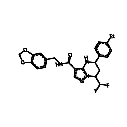 CCc1ccc(C2CC(C(F)F)n3ncc(C(=O)NCc4ccc5c(c4)OCO5)c3N2)cc1